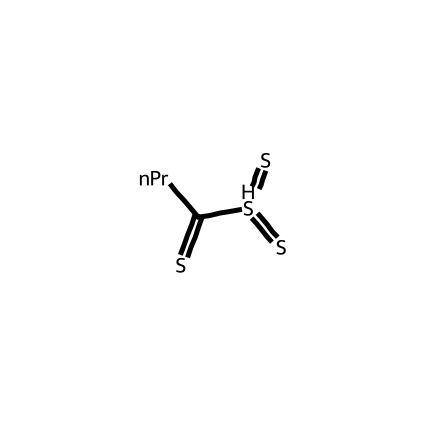 CCCC(=S)[SH](=S)=S